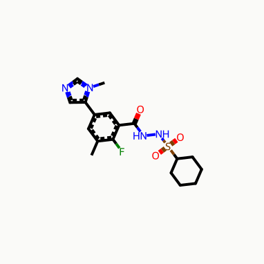 Cc1cc(-c2cncn2C)cc(C(=O)NNS(=O)(=O)C2CCCCC2)c1F